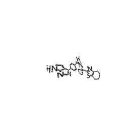 C[C@H](NC(=O)c1nc2c(s1)CCCC2)c1ccc(-c2ncnc3[nH]ccc23)cc1